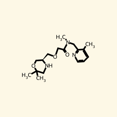 Cc1cccnc1CN(C)C(=O)COC[C@@H]1COC(C)(C)CN1